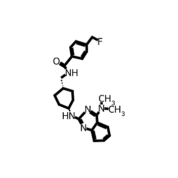 CN(C)c1nc(N[C@H]2CC[C@@H](CNC(=O)c3ccc(CF)cc3)CC2)nc2ccccc12